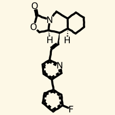 O=C1OC[C@@H]2[C@H](/C=C/c3ccc(-c4cccc(F)c4)cn3)[C@@H]3CCCCC3CN12